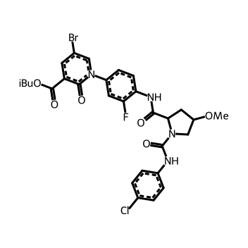 COC1CC(C(=O)Nc2ccc(-n3cc(Br)cc(C(=O)OCC(C)C)c3=O)cc2F)N(C(=O)Nc2ccc(Cl)cc2)C1